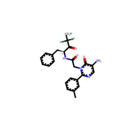 Cc1cccc(-c2ncc(N)c(=O)n2CC(=O)N[C@@H](Cc2ccccc2)C(=O)C(F)(F)C(=O)O)c1